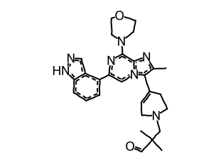 Cc1nc2c(N3CCOCC3)nc(-c3cccc4[nH]ncc34)cn2c1C1=CCN(CC(C)(C)C=O)CC1